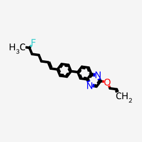 C=CCOc1cnc2cc(-c3ccc(C=CCCCC(C)F)cc3)ccc2n1